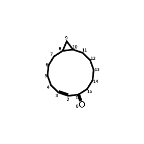 O=C1C=CCCCCC2CC2CCCCC1